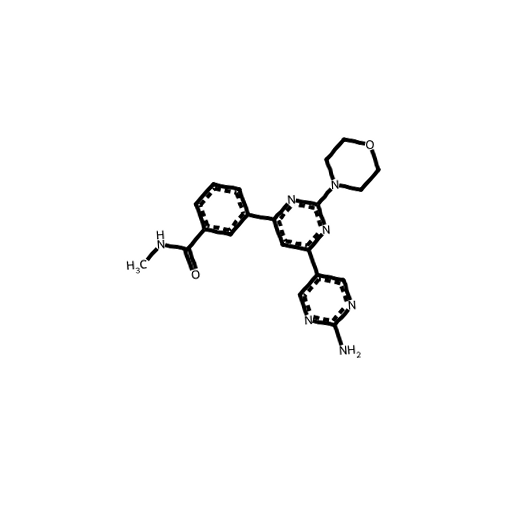 CNC(=O)c1cccc(-c2cc(-c3cnc(N)nc3)nc(N3CCOCC3)n2)c1